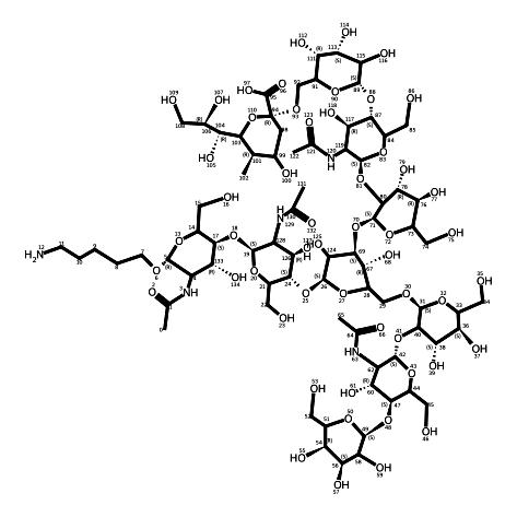 CC(=O)NC1[C@H](OCCCCCN)OC(CO)[C@@H](O[C@@H]2OC(CO)[C@@H](O[C@@H]3OC(CO[C@H]4OC(CO)[C@@H](O)[C@H](O)C4O[C@@H]4OC(CO)[C@@H](O[C@@H]5OC(CO)[C@H](O)[C@H](O)C5O)[C@H](O)C4NC(C)=O)[C@@H](O)[C@H](O[C@@H]4OC(CO)[C@H](O)[C@@H](O)C4O[C@@H]4OC(CO)[C@@H](O[C@@H]5OC(CO[C@]6(C(=O)O)CC(O)[C@@H](C)C([C@H](O)[C@H](O)CO)O6)[C@H](O)[C@H](O)C5O)[C@H](O)C4NC(C)=O)C3O)[C@H](O)C2NC(C)=O)[C@@H]1O